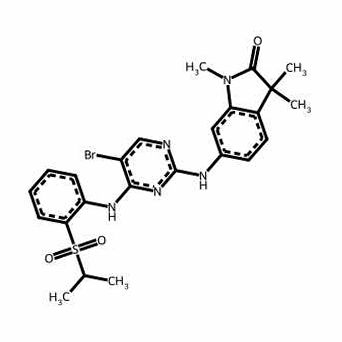 CC(C)S(=O)(=O)c1ccccc1Nc1nc(Nc2ccc3c(c2)N(C)C(=O)C3(C)C)ncc1Br